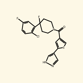 O=C(c1csc(-c2cn[nH]c2)c1)N1CCC(F)(c2cc(F)ccc2Cl)CC1